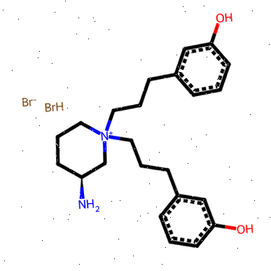 Br.N[C@H]1CCC[N+](CCCc2cccc(O)c2)(CCCc2cccc(O)c2)C1.[Br-]